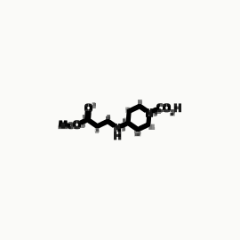 COC(=O)CCNC1CCN(C(=O)O)CC1